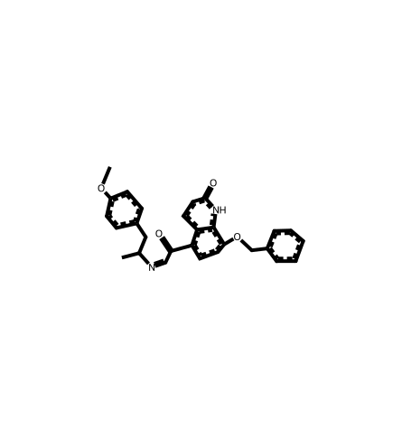 COc1ccc(CC(C)/N=C\C(=O)c2ccc(OCc3ccccc3)c3[nH]c(=O)ccc23)cc1